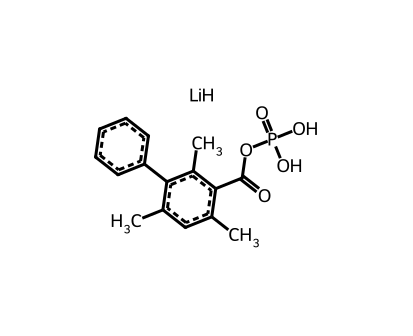 Cc1cc(C)c(-c2ccccc2)c(C)c1C(=O)OP(=O)(O)O.[LiH]